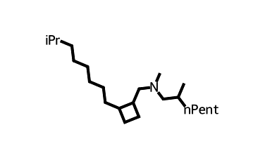 CCCCCC(C)CN(C)CC1CCC1CCCCCCC(C)C